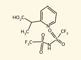 CC(C(=O)O)c1ccccn1.O=S(=O)(NS(=O)(=O)C(F)(F)F)C(F)(F)F